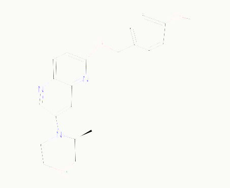 COc1ccc(COc2ccc3ncc(N4CCOC[C@@H]4C)cc3n2)cc1